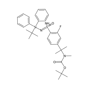 CN(C(=O)OC(C)(C)C)C(C)(C)c1ccc(S(N)(=O)=N[Si](c2ccccc2)(c2ccccc2)C(C)(C)C)c(F)c1